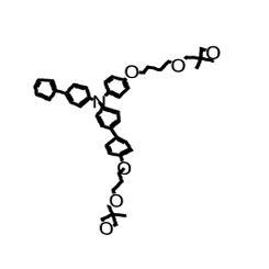 CC1(COCCCCOc2ccc(N(c3ccc(-c4ccccc4)cc3)c3ccc(-c4ccc(OCCCOCC5(C)COC5)cc4)cc3)cc2)COC1